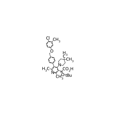 Cc1cc(OCc2ccc(-c3c(C)nc(C)c([C@H](OC(C)(C)C)C(=O)O)c3N3CCC(C)(C)CC3)cc2)ccc1Cl